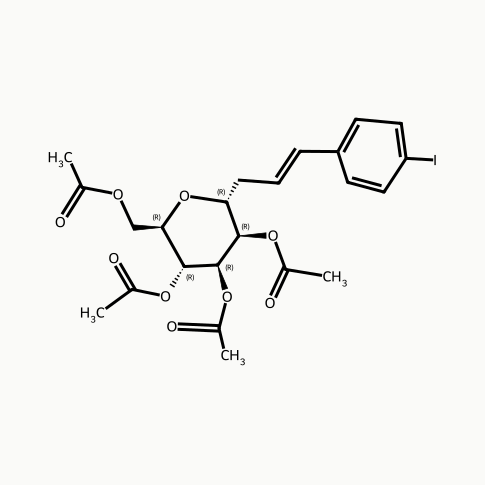 CC(=O)OC[C@H]1O[C@H](CC=Cc2ccc(I)cc2)[C@@H](OC(C)=O)[C@@H](OC(C)=O)[C@@H]1OC(C)=O